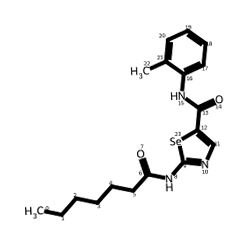 CCCCCCC(=O)Nc1ncc(C(=O)Nc2ccccc2C)[se]1